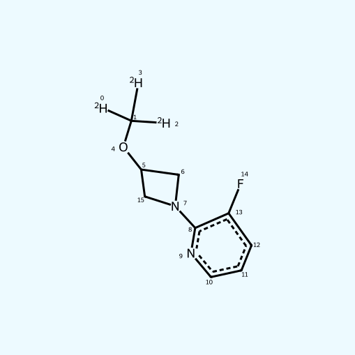 [2H]C([2H])([2H])OC1CN(c2ncccc2F)C1